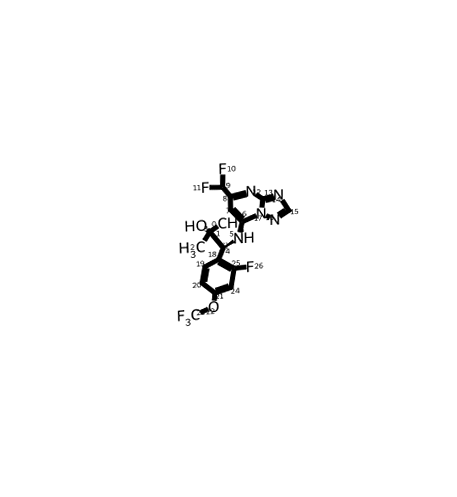 CC(C)(O)[C@@H](Nc1cc(C(F)F)nc2ncnn12)c1ccc(OC(F)(F)F)cc1F